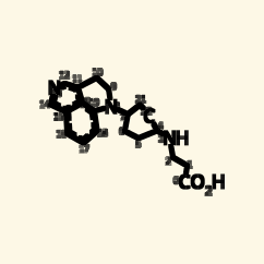 O=C(O)CCNC1CCC(N2CCc3cncc4cccc2c34)CC1